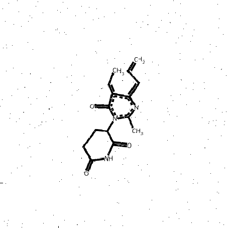 C=C/C=c1/nc(C)n(C2CCC(=O)NC2=O)c(=O)/c1=C/C